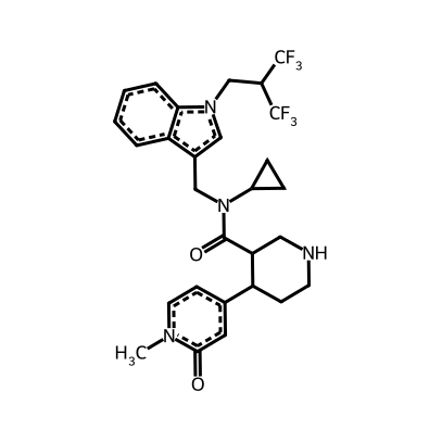 Cn1ccc(C2CCNCC2C(=O)N(Cc2cn(CC(C(F)(F)F)C(F)(F)F)c3ccccc23)C2CC2)cc1=O